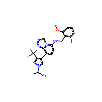 COc1cccc(F)c1CNc1ccc(-c2cn(C(C)C)nc2C(F)(F)F)c2nncn12